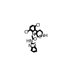 O=C(Cn1c2c(c3c(Cl)ccc(Cl)c31)CCNCC2)Nc1nc2ccccc2s1